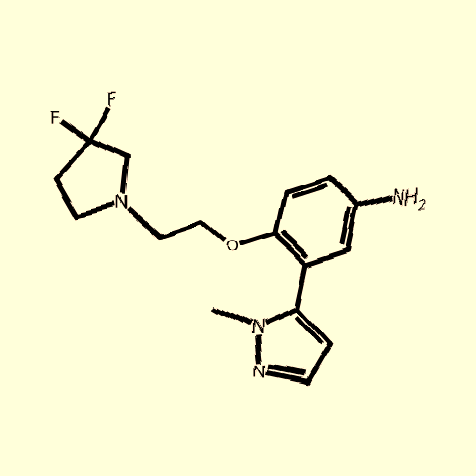 Cn1nccc1-c1cc(N)ccc1OCCN1CCC(F)(F)C1